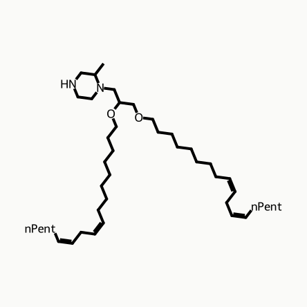 CCCCC/C=C\C/C=C\CCCCCCCCOCC(CN1CCNCC1C)OCCCCCCCC/C=C\C/C=C\CCCCC